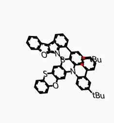 CC(C)(C)c1ccc(N2c3cc4c(cc3B3c5c(cc(C(C)(C)C)cc52)-c2cccc5c6c7ccccc7oc6n3c25)Sc2ccccc2O4)c(-c2ccccc2)c1